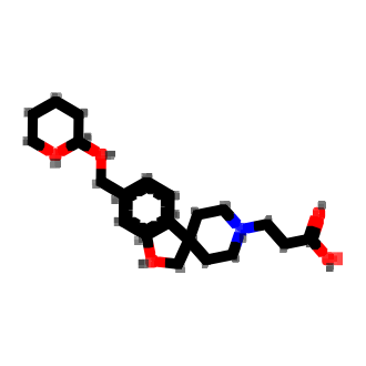 O=C(O)CCN1CCC2(CC1)COc1cc(COC3CCCCO3)ccc12